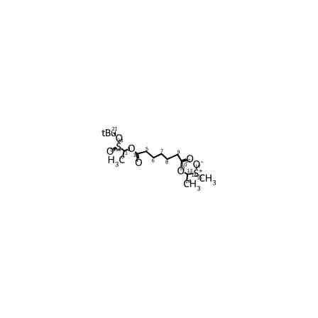 CC(OC(=O)CCCCCC(=O)OC(C)[S+](C)[O-])S(=O)OC(C)(C)C